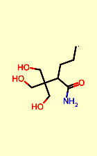 [CH2]CCC(C(N)=O)C(CO)(CO)CO